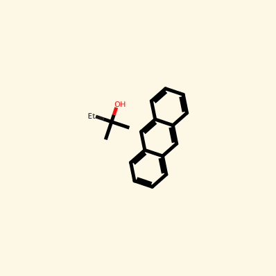 CCC(C)(C)O.c1ccc2cc3ccccc3cc2c1